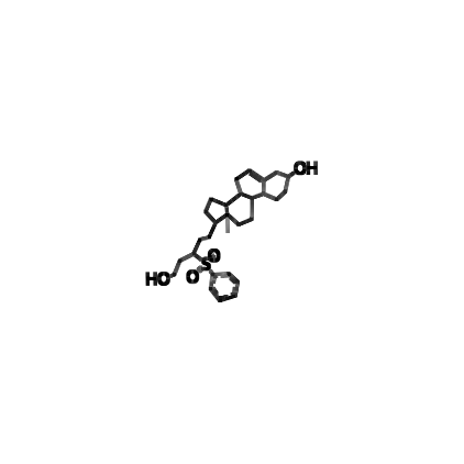 CC12CCC3C4CCC(O)CC4=CCC3C1CCC2CCC(CCO)S(=O)(=O)c1ccccc1